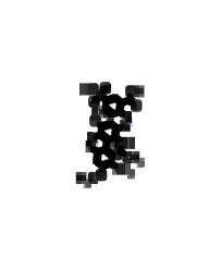 COc1cc(/N=N\c2cc(NC(C)=O)c(/N=N\c3ccc(S(=O)(=O)O)cc3C(=O)O)cc2OC)c(C)cc1N